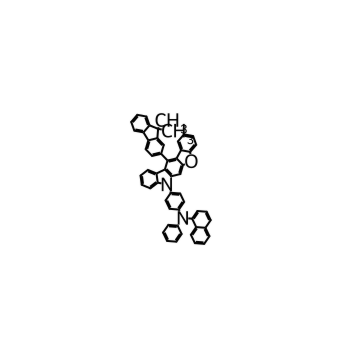 CC1(C)c2ccccc2-c2ccc(-c3c4c(cc5c3c3ccccc3n5-c3ccc(N(c5ccccc5)c5cccc6ccccc56)cc3)oc3ccccc34)cc21